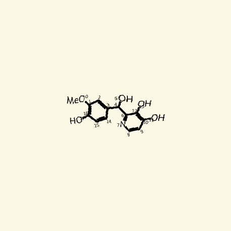 COc1cc(C(O)c2nccc(O)c2O)ccc1O